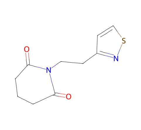 O=C1CCCC(=O)N1CCc1ccsn1